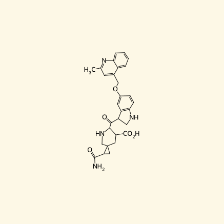 Cc1cc(COc2ccc3c(c2)C(C(=O)C2NCC4(CC2C(=O)O)CC4C(N)=O)CN3)c2ccccc2n1